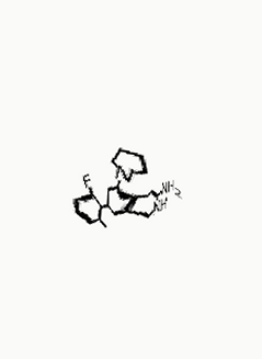 Cc1cccc(F)c1C1C=C2CNC(N)=CC2=C(N2CCCC2)C1